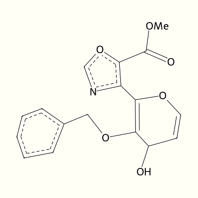 COC(=O)c1ocnc1C1=C(OCc2ccccc2)C(O)C=CO1